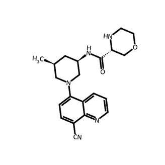 C[C@H]1C[C@@H](NC(=O)[C@H]2COCCN2)CN(c2ccc(C#N)c3ncccc23)C1